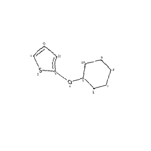 [c]1csc(OC2CCCCC2)c1